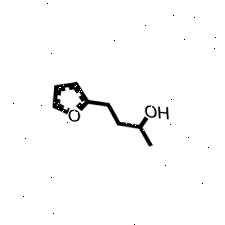 CC(O)CCc1ccco1